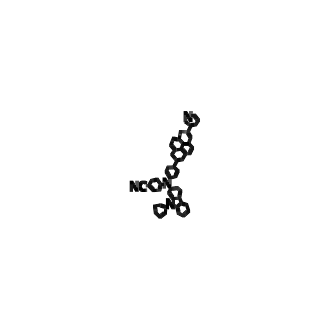 N#Cc1ccc(N(c2ccc(C3=Cc4ccc5c6c(ccc(c46)C3)CC(c3cccnc3)=C5)cc2)c2ccc3c4ccccc4n(-c4ccccc4)c3c2)cc1